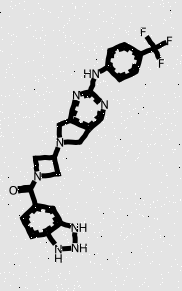 O=C(c1ccc2c(c1)NNN2)N1CC(N2Cc3cnc(Nc4ccc(C(F)(F)F)cc4)nc3C2)C1